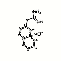 Cl.N=C(N)Cc1ccc2ccccc2c1